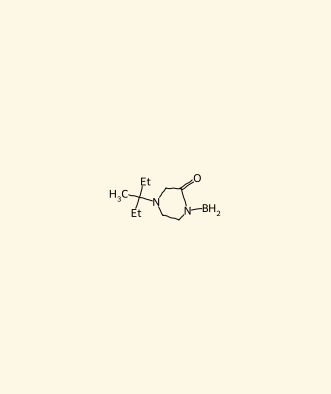 BN1CCN(C(C)(CC)CC)CC1=O